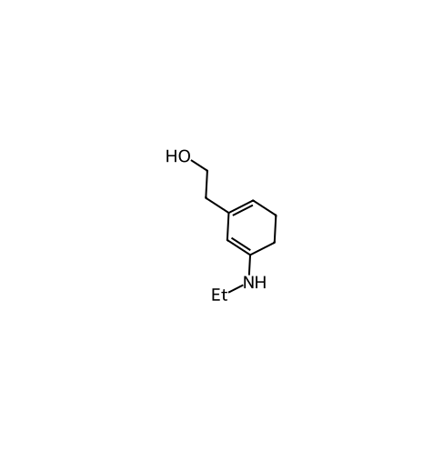 CCNC1=CC(CCO)=CCC1